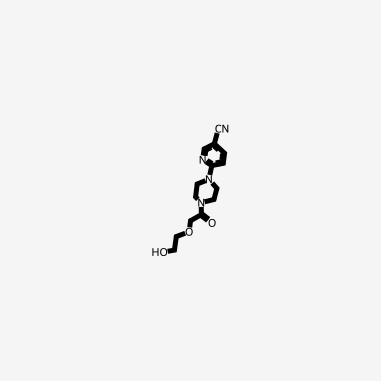 N#Cc1ccc(N2CCN(C(=O)COCCO)CC2)nc1